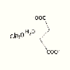 O.O.O=C([O-])CCC(=O)[O-].[Ca+2]